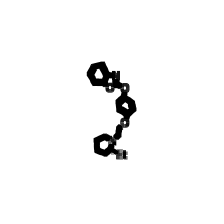 CC[C@H]1CCCCN1CCOc1ccc(Oc2nc3ccccc3o2)cc1